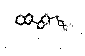 CC1(O)CC(Nc2ncc3c(-c4ccc5ncccc5c4)ccn3n2)C1